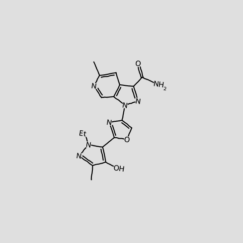 CCn1nc(C)c(O)c1-c1nc(-n2nc(C(N)=O)c3cc(C)ncc32)co1